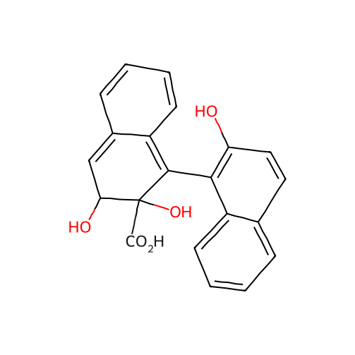 O=C(O)C1(O)C(c2c(O)ccc3ccccc23)=c2ccccc2=CC1O